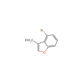 CCOC(=O)c1coc2cccc(Br)c12